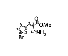 COC(=O)/C(=C/c1ccc(Br)s1)CN